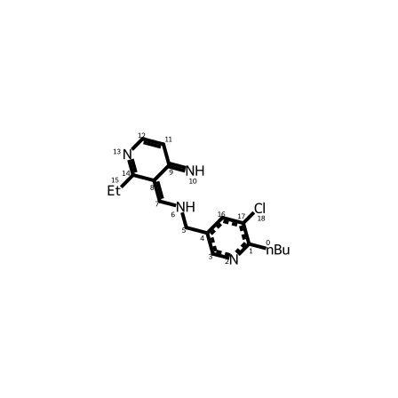 CCCCc1ncc(CN/C=C2\C(=N)C=CN=C2CC)cc1Cl